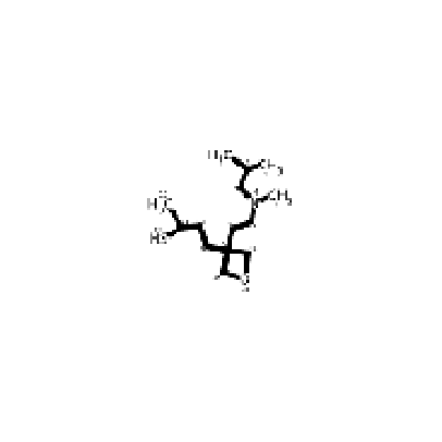 CC(C)CN(C)CCC1(CCC(C)S)COC1